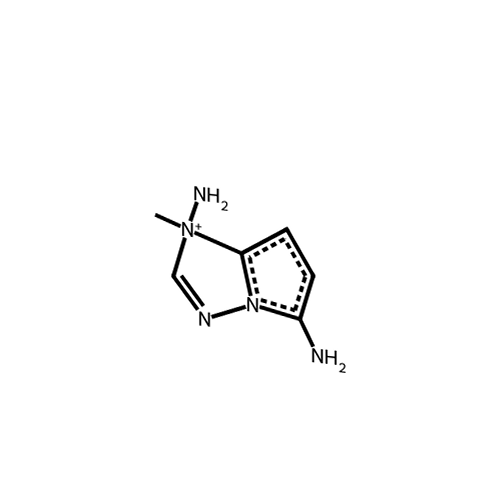 C[N+]1(N)C=Nn2c(N)ccc21